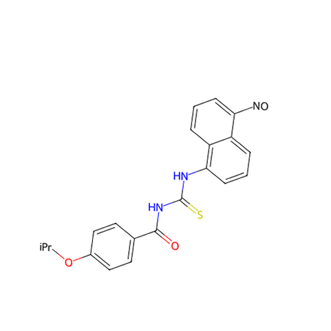 CC(C)Oc1ccc(C(=O)NC(=S)Nc2cccc3c(N=O)cccc23)cc1